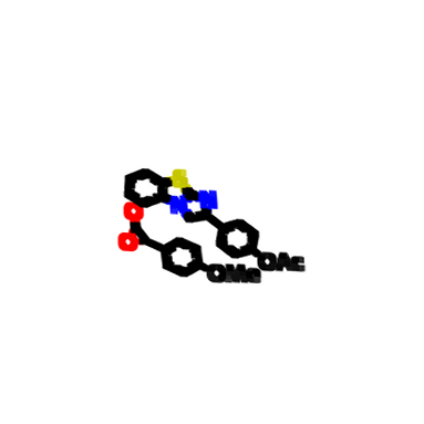 CC(=O)Oc1ccc(-c2cn3c(n2)sc2ccccc23)cc1.COc1ccc(C2OC2=O)cc1